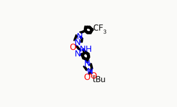 CC(C)(C)OC(=O)N1CCN(c2ccc3[nH]c(C(=O)N4CCN(Cc5ccc(C(F)(F)F)cc5)CC4)nc3c2)CC1